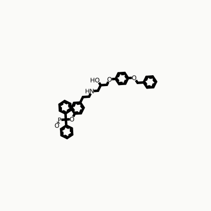 O=PC(Oc1ccc(CCNCC(O)COc2ccc(OCc3ccccc3)cc2)cc1)(c1ccccc1)c1ccccc1